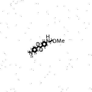 COCCNc1ccc(C(=O)C(=O)c2ccc(N(C)C)cc2)cc1